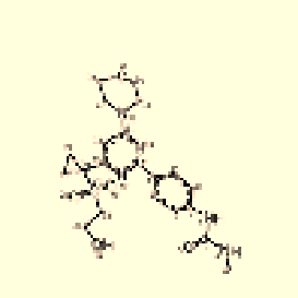 CNC(=O)Nc1ccc(-c2nc(N3CCOCC3)cc(C3(S(=O)(=O)CCO)CC3)n2)cc1